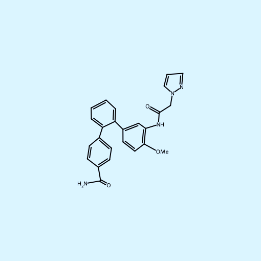 COc1ccc(-c2ccccc2-c2ccc(C(N)=O)cc2)cc1NC(=O)Cn1cccn1